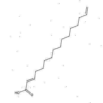 C=CCCCCCCCCCCCC=CC(=O)O